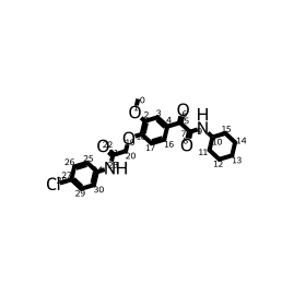 COc1cc(C(=O)C(=O)NC2CCCCC2)ccc1OCC(=O)Nc1ccc(Cl)cc1